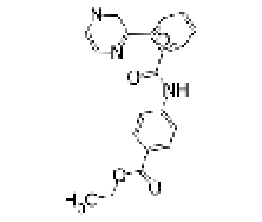 CCOC(=O)c1ccc(NC(=O)c2c(-c3cnccn3)c3ccc2o3)cc1